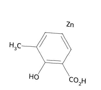 Cc1cccc(C(=O)O)c1O.[Zn]